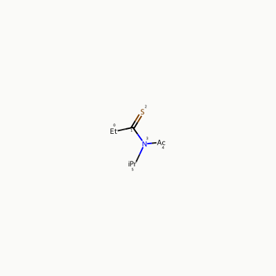 CCC(=S)N(C(C)=O)C(C)C